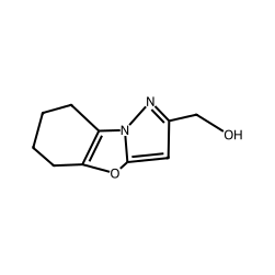 OCc1cc2oc3c(n2n1)CCCC3